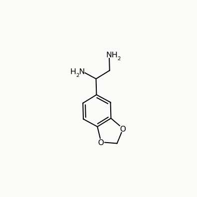 NCC(N)c1ccc2c(c1)OCO2